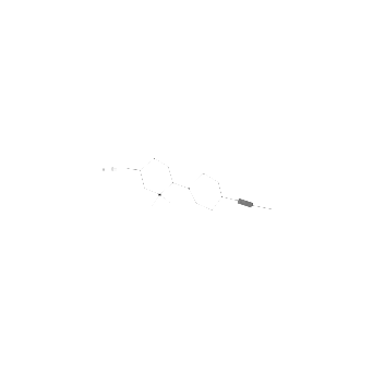 CC#CC1CCC(C2CCC(CCCCC)CC2(F)F)CC1